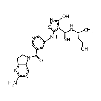 CC(CCO)NC(=N)c1c(O)nsc1Nc1cncc(C(=O)N2CCc3nc(N)ncc32)c1